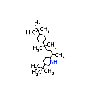 CC(CCC(C)(C)C1CCC(C(C)(C)C)CC1)C1CCC(C(C)(C)C)CN1